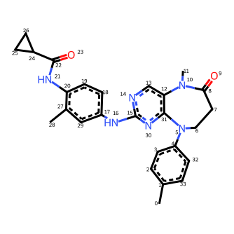 Cc1ccc(N2CCC(=O)N(C)c3cnc(Nc4ccc(NC(=O)C5CC5)c(C)c4)nc32)cc1